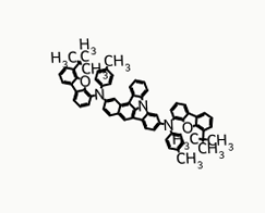 Cc1ccc(N(c2ccc3cc4c5ccc(N(c6ccc(C)cc6)c6cccc7c6oc6c(C(C)(C)C)cccc67)cc5n5c6ccccc6c(c3c2)c45)c2cccc3c2oc2c(C(C)(C)C)cccc23)cc1